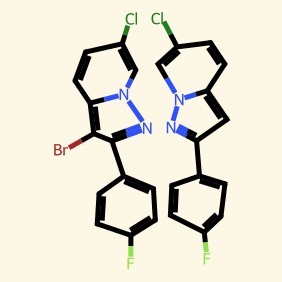 Fc1ccc(-c2cc3ccc(Cl)cn3n2)cc1.Fc1ccc(-c2nn3cc(Cl)ccc3c2Br)cc1